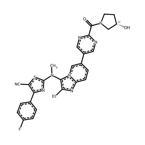 CCc1nc2ccc(-c3cnc(C(=O)N4CC[C@H](O)C4)nc3)cn2c1N(C)c1nc(-c2ccc(F)cc2)c(C#N)s1